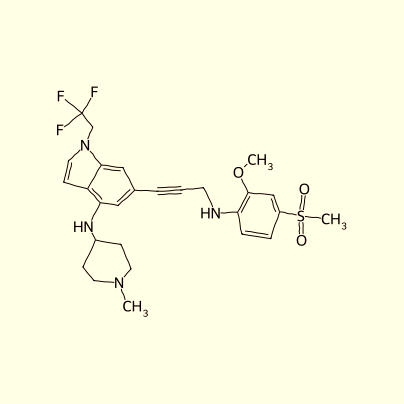 COc1cc(S(C)(=O)=O)ccc1NCC#Cc1cc(NC2CCN(C)CC2)c2ccn(CC(F)(F)F)c2c1